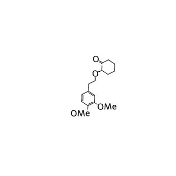 COc1ccc(CCO[C@@H]2CCCCC2=O)cc1OC